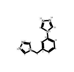 c1cc(Cn2cnnc2)cc(-n2cnnc2)c1